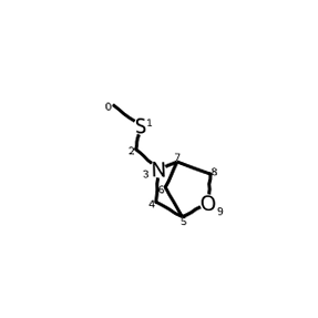 CSCN1CC2CC1CO2